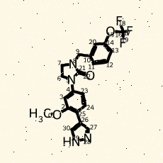 COc1cc(N2CCN(Cc3cccc(OC(F)(F)F)c3)C2=O)ccc1-c1cn[nH]c1